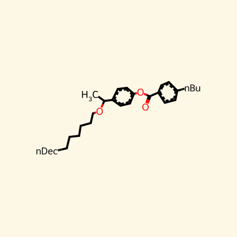 CCCCCCCCCCCCCCCCOC(C)c1ccc(OC(=O)c2ccc(CCCC)cc2)cc1